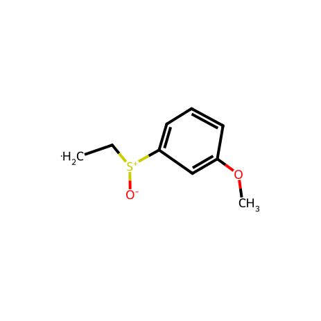 [CH2]C[S+]([O-])c1cccc(OC)c1